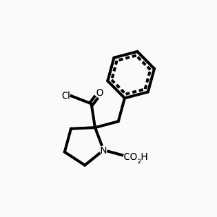 O=C(O)N1CCCC1(Cc1ccccc1)C(=O)Cl